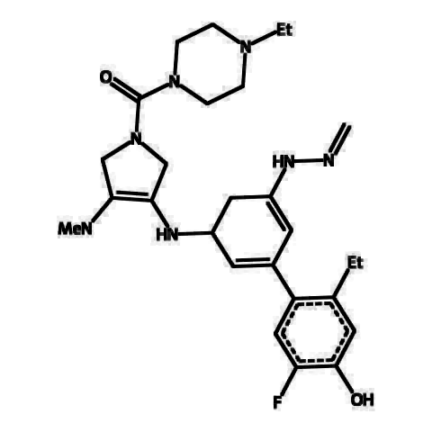 C=NNC1=CC(c2cc(F)c(O)cc2CC)=CC(NC2=C(NC)CN(C(=O)N3CCN(CC)CC3)C2)C1